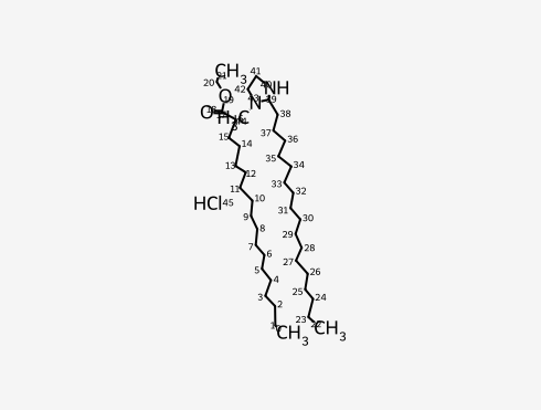 CCCCCCCCCCCCCCCCCC(=O)OCC.CCCCCCCCCCCCCCCCCC1NCCN1C.Cl